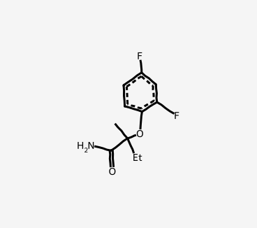 CCC(C)(Oc1ccc(F)cc1F)C(N)=O